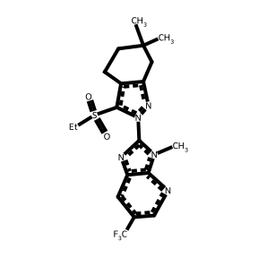 CCS(=O)(=O)c1c2c(nn1-c1nc3cc(C(F)(F)F)cnc3n1C)CC(C)(C)CC2